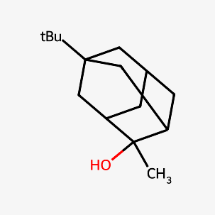 CC1(O)C2CC3CC1CC(C(C)(C)C)(C3)C2